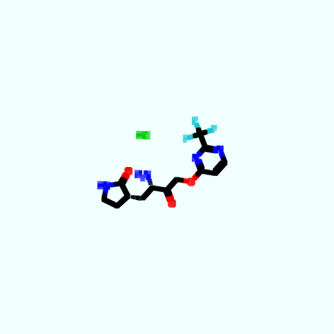 Cl.N[C@@H](C[C@@H]1CCNC1=O)C(=O)COc1ccnc(C(F)(F)F)n1